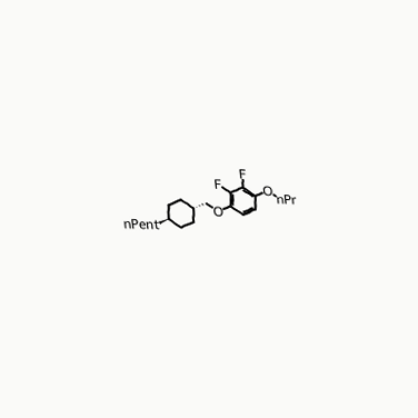 CCCCC[C@H]1CC[C@H](COc2ccc(OCCC)c(F)c2F)CC1